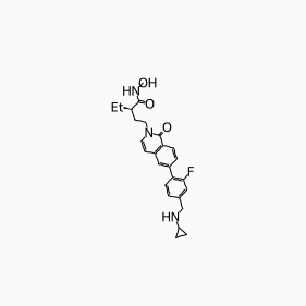 CC[C@H](CCn1ccc2cc(-c3ccc(CNC4CC4)cc3F)ccc2c1=O)C(=O)NO